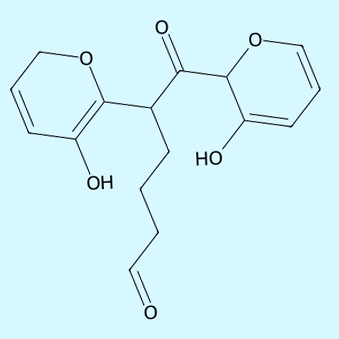 O=CCCCC(C(=O)C1OC=CC=C1O)C1=C(O)C=CCO1